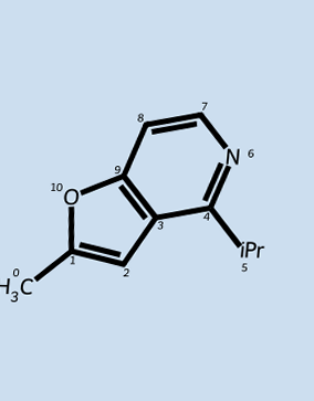 Cc1cc2c(C(C)C)nccc2o1